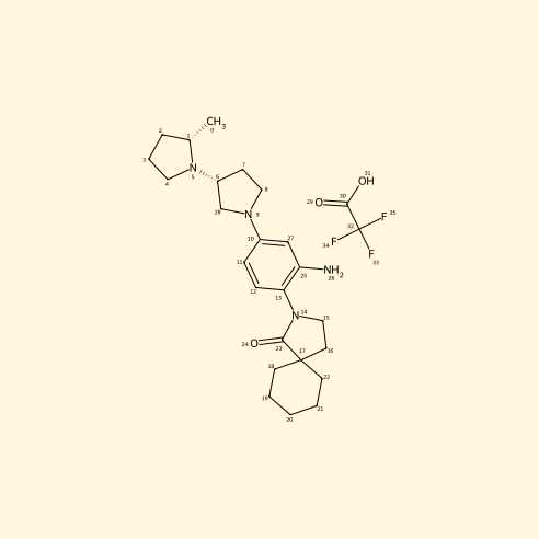 C[C@H]1CCCN1[C@@H]1CCN(c2ccc(N3CCC4(CCCCC4)C3=O)c(N)c2)C1.O=C(O)C(F)(F)F